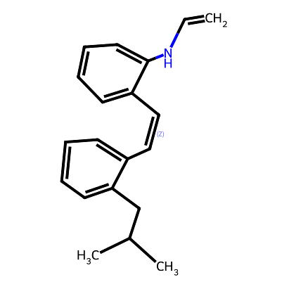 C=CNc1ccccc1/C=C\c1ccccc1CC(C)C